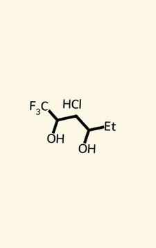 CCC(O)CC(O)C(F)(F)F.Cl